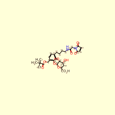 CCC(C)(C)C(=O)OCc1ccc(CCCCNC(=O)CN2C(=O)C=CC2=O)cc1O[C@@H]1O[C@H](C(=O)O)C[C@H](O)[C@H]1O